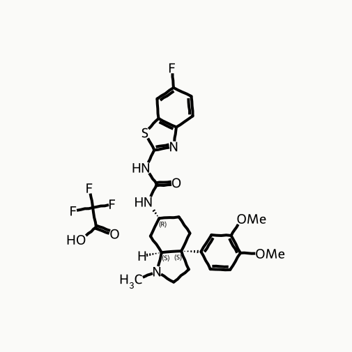 COc1ccc([C@@]23CC[C@@H](NC(=O)Nc4nc5ccc(F)cc5s4)C[C@@H]2N(C)CC3)cc1OC.O=C(O)C(F)(F)F